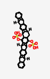 O=S(=O)(O)Oc1c2c(c(OS(=O)(=O)O)c3c1C1C[C@H]3c3cc4c(cc31)[C@@H]1CC4c3ccccc31)C1C[C@H](C2)c2cc3c(cc21)[C@@H]1CC3c2ccccc21